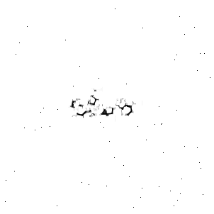 Nc1ccnc2c1nnn2[C@H]1C[C@@]2(O)C(OP(=O)(S)OC3[C@H](n4ccc(=O)n5ccnc45)O[C@H](CO)[C@H]3O)[C@H]2O1